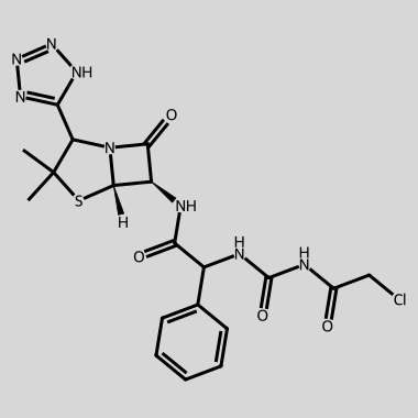 CC1(C)S[C@H]2[C@H](NC(=O)C(NC(=O)NC(=O)CCl)c3ccccc3)C(=O)N2C1c1nnn[nH]1